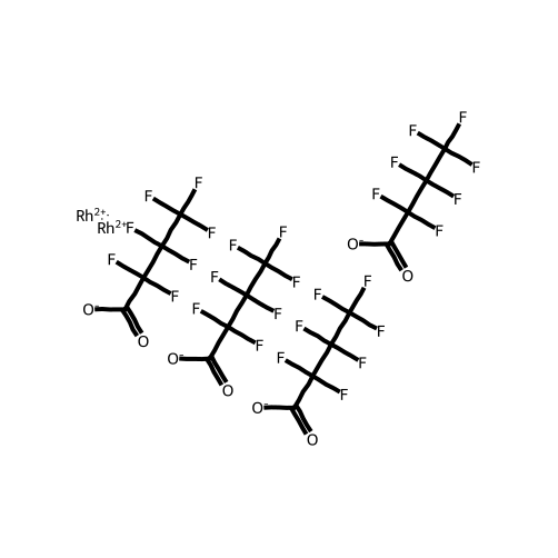 O=C([O-])C(F)(F)C(F)(F)C(F)(F)F.O=C([O-])C(F)(F)C(F)(F)C(F)(F)F.O=C([O-])C(F)(F)C(F)(F)C(F)(F)F.O=C([O-])C(F)(F)C(F)(F)C(F)(F)F.[Rh+2].[Rh+2]